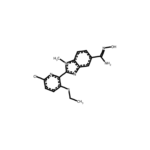 CCSc1ccc(Cl)nc1-c1nc2cc(C(N)=NO)ccc2n1C